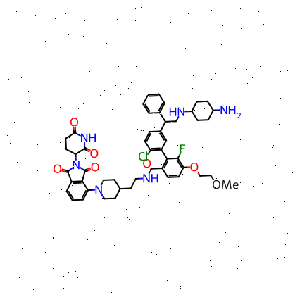 COCCOc1ccc(C(=O)NCCC2CCN(c3cccc4c3C(=O)N(C3CCC(=O)NC3=O)C4=O)CC2)c(-c2cc(C(CNC3CCC(N)CC3)c3ccccc3)ccc2Cl)c1F